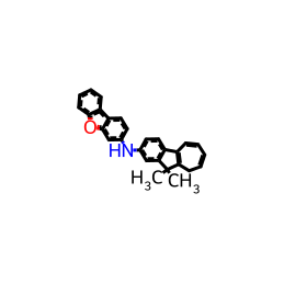 CC1(C)C2=C(C=CC=CC2)c2ccc(Nc3ccc4c(c3)oc3ccccc34)cc21